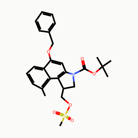 Cc1cccc2c(OCc3ccccc3)cc3c(c12)C(COS(C)(=O)=O)CN3C(=O)OC(C)(C)C